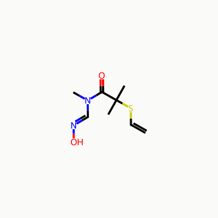 C=CSC(C)(C)C(=O)N(C)C=NO